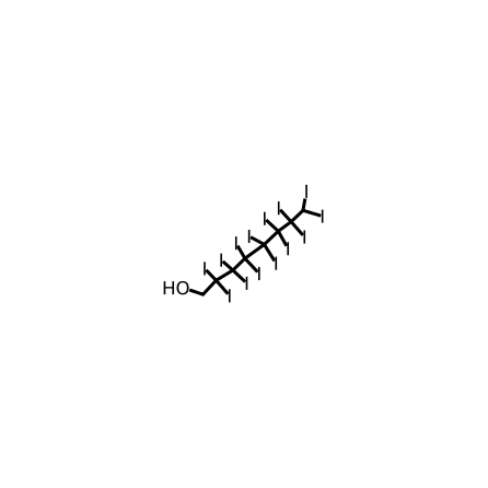 OCC(I)(I)C(I)(I)C(I)(I)C(I)(I)C(I)(I)C(I)(I)C(I)I